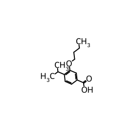 CCCCOc1cc(C(=O)O)ccc1C(C)C